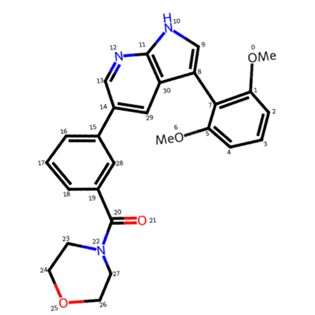 COc1cccc(OC)c1-c1c[nH]c2ncc(-c3cccc(C(=O)N4CCOCC4)c3)cc12